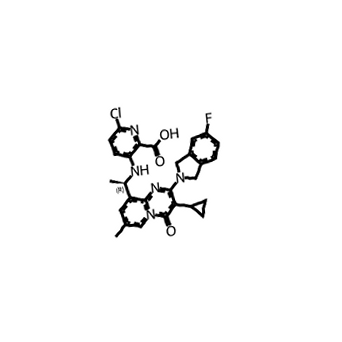 Cc1cc([C@@H](C)Nc2ccc(Cl)nc2C(=O)O)c2nc(N3Cc4ccc(F)cc4C3)c(C3CC3)c(=O)n2c1